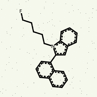 FCCCCCn1c(-c2cccc3ccccc23)cc2ccccc21